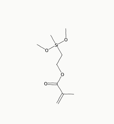 C=C(C)C(=O)OCC[Si](C)(OC)OC